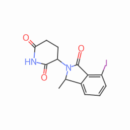 CC1c2cccc(I)c2C(=O)N1C1CCC(=O)NC1=O